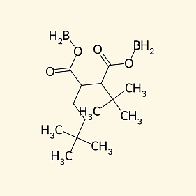 BOC(=O)C(CCC(C)(C)C)C(C(=O)OB)C(C)(C)C